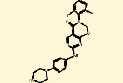 O=C1c2cnc(Nc3ccc(N4CCNCC4)cc3)nc2OCN1c1c(F)cccc1F